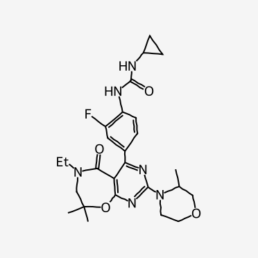 CCN1CC(C)(C)Oc2nc(N3CCOCC3C)nc(-c3ccc(NC(=O)NC4CC4)c(F)c3)c2C1=O